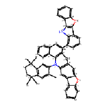 Cc1cc2c(cc1N1c3cc4c(cc3Bc3c(-c5cccc6c5[nH]c5c7ccccc7oc65)cc5ccccc5c31)oc1ccccc14)C(C)(C)CCC2(C)C